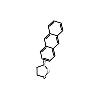 B1CCOO1.c1ccc2cc3ccccc3cc2c1